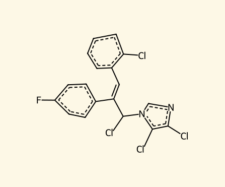 Fc1ccc(/C(=C\c2ccccc2Cl)C(Cl)n2cnc(Cl)c2Cl)cc1